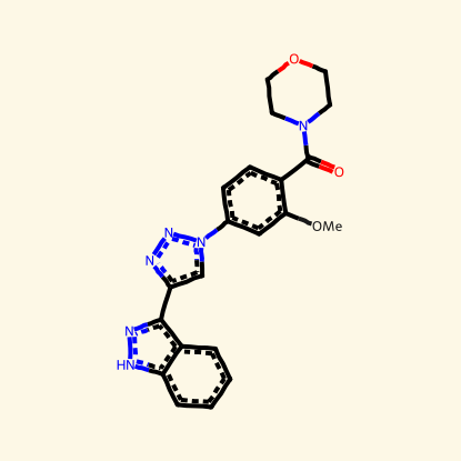 COc1cc(-n2cc(-c3n[nH]c4ccccc34)nn2)ccc1C(=O)N1CCOCC1